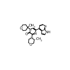 C[C@@H]1COCCN1c1nc(-c2ccnc3[nH]ccc23)cn(C2(C)CCOCC2)c1=O